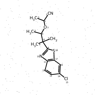 CC(C#N)OC(C)C(C)(C)c1nc2ccc(Cl)cc2s1